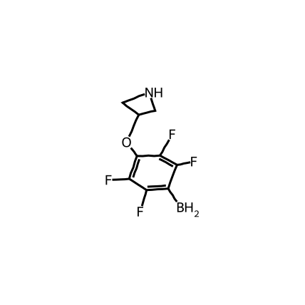 Bc1c(F)c(F)c(OC2CNC2)c(F)c1F